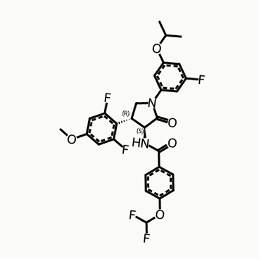 COc1cc(F)c([C@@H]2CN(c3cc(F)cc(OC(C)C)c3)C(=O)[C@H]2NC(=O)c2ccc(OC(F)F)cc2)c(F)c1